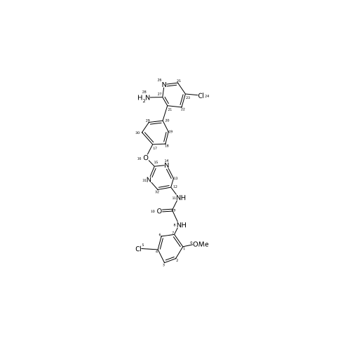 COc1ccc(Cl)cc1NC(=O)Nc1cnc(Oc2ccc(-c3cc(Cl)cnc3N)cc2)nc1